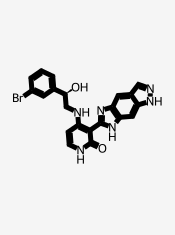 O=c1[nH]ccc(NC[C@@H](O)c2cccc(Br)c2)c1-c1nc2cc3cn[nH]c3cc2[nH]1